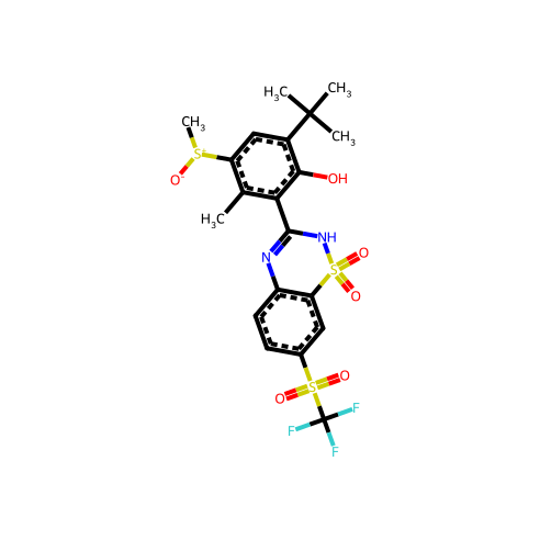 Cc1c([S+](C)[O-])cc(C(C)(C)C)c(O)c1C1=Nc2ccc(S(=O)(=O)C(F)(F)F)cc2S(=O)(=O)N1